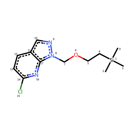 C[Si](C)(C)CCOCn1ncc2ccc(Cl)nc21